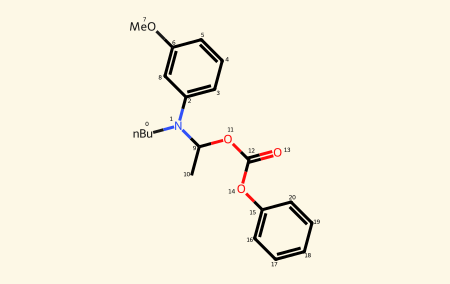 CCCCN(c1cccc(OC)c1)C(C)OC(=O)Oc1ccccc1